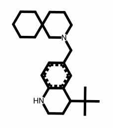 CC(C)(C)C1CCNc2ccc(CN3CCCC4(CCCCC4)C3)cc21